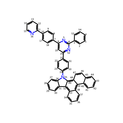 c1ccc(-c2nc(-c3ccc(-c4ccccn4)cc3)cc(-c3ccc(-n4c5ccccc5c5c6ccccc6c6c7ccccc7ccc6c54)cc3)n2)cc1